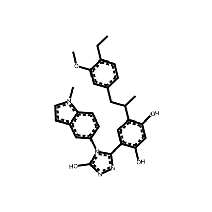 CCc1ccc(CC(C)c2cc(-c3nnc(O)n3-c3ccc4c(ccn4C)c3)c(O)cc2O)cc1OC